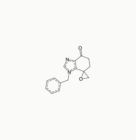 O=C1CCC2(CO2)c2c1ncn2Cc1ccccc1